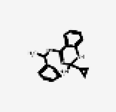 CC(NC1=NC(N)(C2CC2)Nc2ccccc21)c1ccccc1